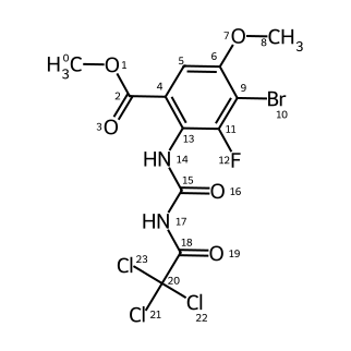 COC(=O)c1cc(OC)c(Br)c(F)c1NC(=O)NC(=O)C(Cl)(Cl)Cl